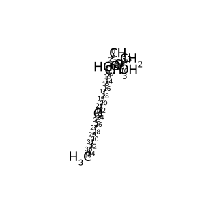 C/C=C/C(=O)O.C=CC(=O)O.CCCCCCCCCCCCOCCCCCCCCCCCC